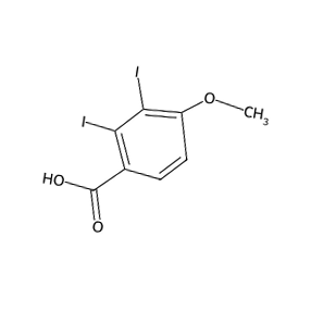 COc1ccc(C(=O)O)c(I)c1I